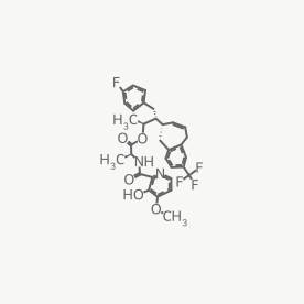 COc1ccnc(C(=O)N[C@@H](C)C(=O)O[C@@H](C)[C@H](Cc2ccc(F)cc2)[C@@H]2C=CCc3cc(C(F)(F)F)ccc3C2)c1O